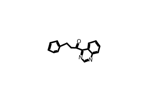 O=C(CCc1ccccc1)c1ncnc2ccccc12